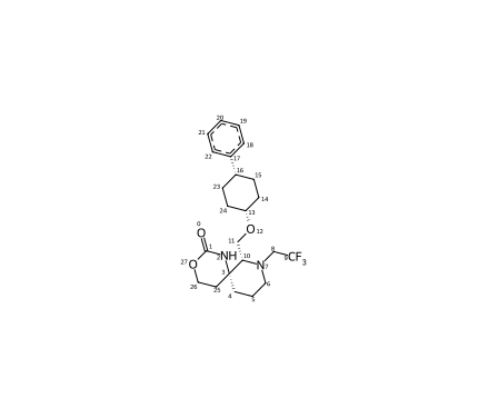 O=C1N[C@]2(CCCN(CC(F)(F)F)[C@H]2CO[C@H]2CC[C@@H](c3ccccc3)CC2)CCO1